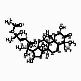 CC(=O)OC(C)(C)/C=C/C(=O)[C@](C)(O)C1[C@H](O)C[C@@]2(C)[C@@H]3CC=C4[C@@H](C[C@H](O)C(=O)C4(C)C)[C@]3(CO)C(=O)C[C@]12C